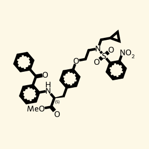 COC(=O)[C@H](Cc1ccc(OCCN(CC2CC2)S(=O)(=O)c2ccccc2[N+](=O)[O-])cc1)Nc1ccccc1C(=O)c1ccccc1